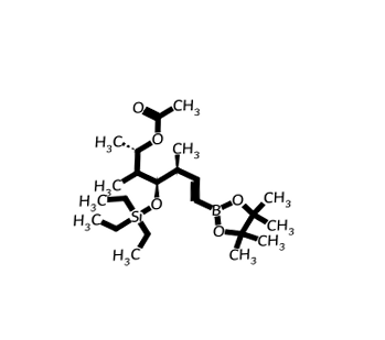 CC[Si](CC)(CC)O[C@@H](C(C)[C@H](C)OC(C)=O)[C@@H](C)/C=C/B1OC(C)(C)C(C)(C)O1